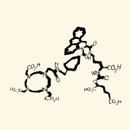 O=C(O)CCC[C@H](OC(=O)N[C@@H](CCCNC(=O)[C@H](Cc1c2ccccc2cc2ccccc12)NC(=O)[C@H]1CC[C@H](CNC(=O)CN2CCN(CC(=O)O)CCN(CC(=O)O)CCN(CC(=O)O)CC2)CC1)C(=O)O)C(=O)O